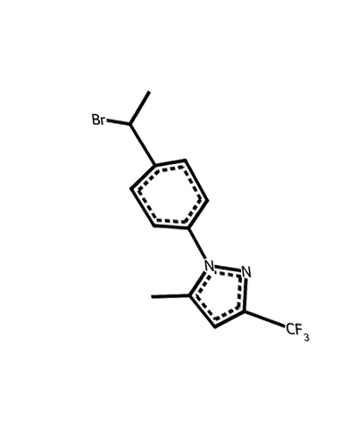 Cc1cc(C(F)(F)F)nn1-c1ccc(C(C)Br)cc1